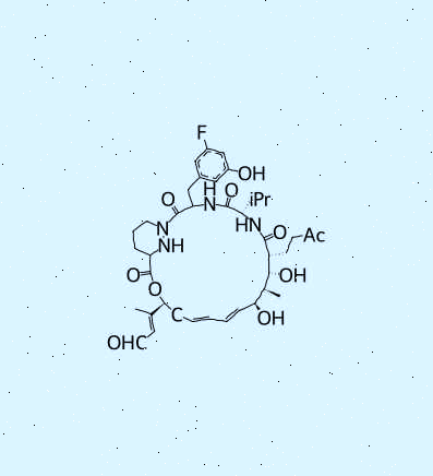 CC(=O)CC[C@H]1C(=O)N[C@@H](C(C)C)C(=O)NC(Cc2cc(O)cc(F)c2)C(=O)N2CCCC(N2)C(=O)O[C@H](/C(C)=C/C=O)C/C=C/C=C/[C@H](O)[C@H](C)[C@H]1O